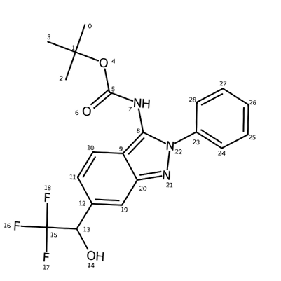 CC(C)(C)OC(=O)Nc1c2ccc(C(O)C(F)(F)F)cc2nn1-c1ccccc1